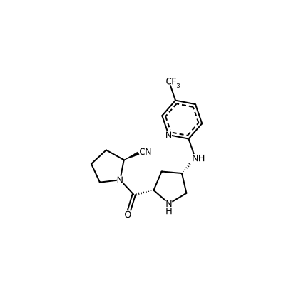 N#C[C@@H]1CCCN1C(=O)[C@@H]1C[C@H](Nc2ccc(C(F)(F)F)cn2)CN1